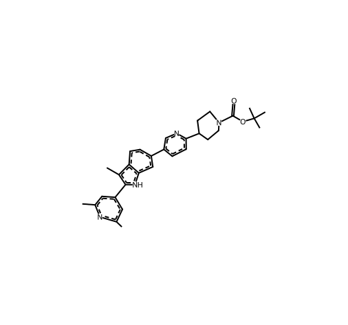 Cc1cc(-c2[nH]c3cc(-c4ccc(C5CCN(C(=O)OC(C)(C)C)CC5)nc4)ccc3c2C)cc(C)n1